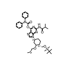 CSCOC1C[C@H](n2cnc3c(OC(=O)N(c4ccccc4)c4ccccc4)nc(NC(=O)C(C)C)nc32)CC[C@@H]1CO[Si](C)(C)C(C)(C)C